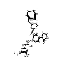 CC(=O)c1sc(NC(=O)N[C@@H]2CCN(C3CCCC3=O)C[C@H]2CN2CCCC(Cc3ccc(F)cc3)C2)nc1C